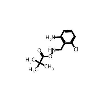 CC(C)(C)C(=O)ONCc1c(N)cccc1Cl